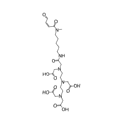 CN(CCCCCNC(=O)CN(CCN(CCN(CC(=O)O)CC(=O)O)CC(=O)O)CC(=O)O)C(=O)/C=C\C=O